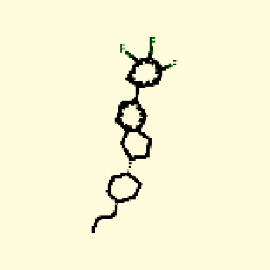 CCC[C@H]1CC[C@H](C2CCc3cc(-c4cc(F)c(F)c(F)c4)ccc3C2)CC1